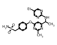 CCc1cnc(NC(C)c2cc(Oc3ccc(CS(N)(=O)=O)cc3)nc(C)n2)nc1